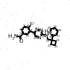 NC(=O)c1ccc(F)c(-c2cnc(NCC3(c4ccccn4)CCC3)nn2)c1